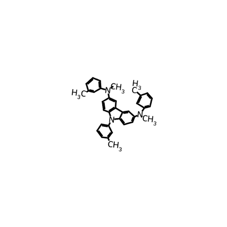 Cc1cccc(N(C)c2ccc3c(c2)c2cc(N(C)c4cccc(C)c4)ccc2n3-c2cccc(C)c2)c1